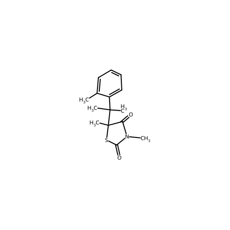 Cc1ccccc1C(C)(C)C1(C)SC(=O)N(C)C1=O